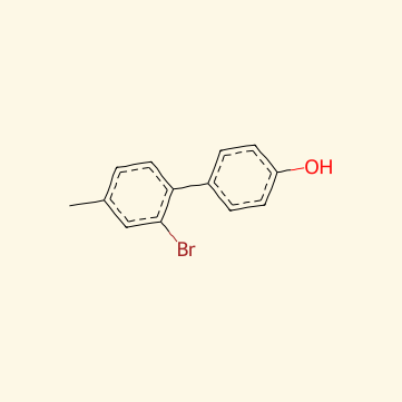 Cc1ccc(-c2ccc(O)cc2)c(Br)c1